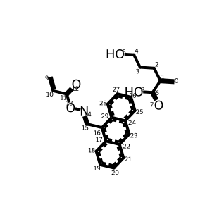 C=C(CCCO)C(=O)O.C=CC(=O)ON=Cc1c2ccccc2cc2ccccc12